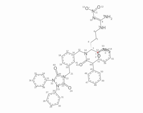 NC(=O)[C@@H](CCCNC(N)=N[N+](=O)[O-])N(Cc1cccc(Cn2c(=O)n(-c3ccccc3)n(-c3ccccc3)c2=O)c1)C(=O)C(c1ccccc1)c1ccccc1